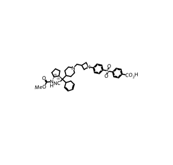 COC(=O)N[C@@H]1CCC[C@H]1C(C#N)(C1C=CC=CC1)C1CCN(CC2CN(c3ccc(S(=O)(=O)c4ccc(C(=O)O)cc4)cc3)C2)CC1